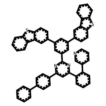 c1ccc(-c2ccc(-c3cc(-c4ccccc4-c4cccnc4)nc(-c4cc(-c5ccc6sc7ccccc7c6c5)cc(-c5ccc6sc7ccccc7c6c5)c4)n3)cc2)cc1